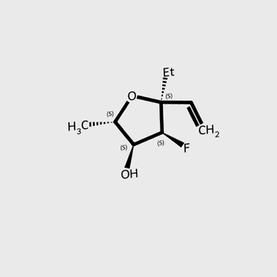 C=C[C@]1(CC)O[C@@H](C)[C@H](O)[C@@H]1F